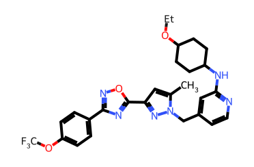 CCOC1CCC(Nc2cc(Cn3nc(-c4nc(-c5ccc(OC(F)(F)F)cc5)no4)cc3C)ccn2)CC1